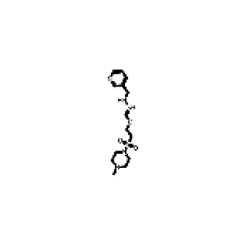 CN1CCN(S(=O)(=O)CCOC=[SH]NCc2cccnc2)CC1